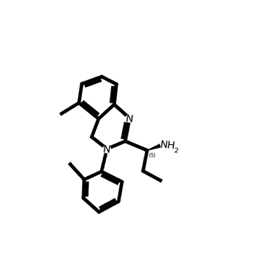 CC[C@H](N)C1=Nc2cccc(C)c2CN1c1ccccc1C